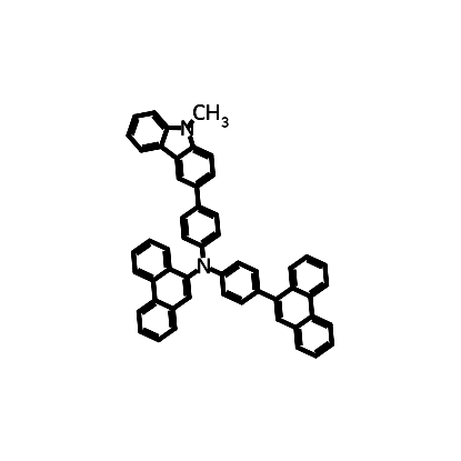 Cn1c2ccccc2c2cc(-c3ccc(N(c4ccc(-c5cc6ccccc6c6ccccc56)cc4)c4cc5ccccc5c5ccccc45)cc3)ccc21